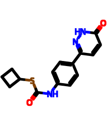 O=C(Nc1ccc(-c2ccc(=O)[nH]n2)cc1)SC1CCC1